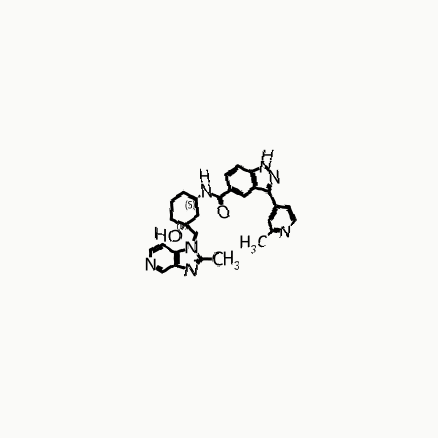 Cc1cc(-c2n[nH]c3ccc(C(=O)N[C@H]4CCC[C@](O)(Cn5c(C)nc6cnccc65)C4)cc23)ccn1